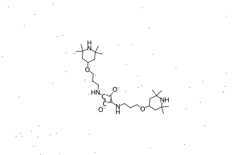 CC1(C)CC(OCCCNc2c([O-])[c+](NCCCOC3CC(C)(C)NC(C)(C)C3)[c+]2[O-])CC(C)(C)N1